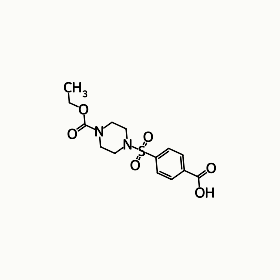 CCOC(=O)N1CCN(S(=O)(=O)c2ccc(C(=O)O)cc2)CC1